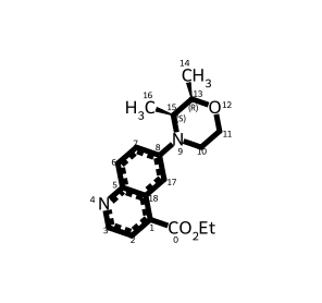 CCOC(=O)c1ccnc2ccc(N3CCO[C@H](C)[C@@H]3C)cc12